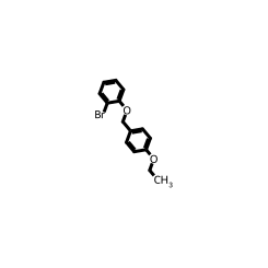 CCOc1ccc(COc2ccccc2Br)cc1